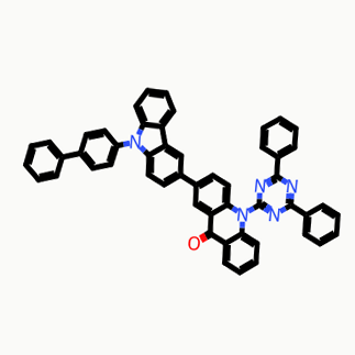 O=c1c2ccccc2n(-c2nc(-c3ccccc3)nc(-c3ccccc3)n2)c2ccc(-c3ccc4c(c3)c3ccccc3n4-c3ccc(-c4ccccc4)cc3)cc12